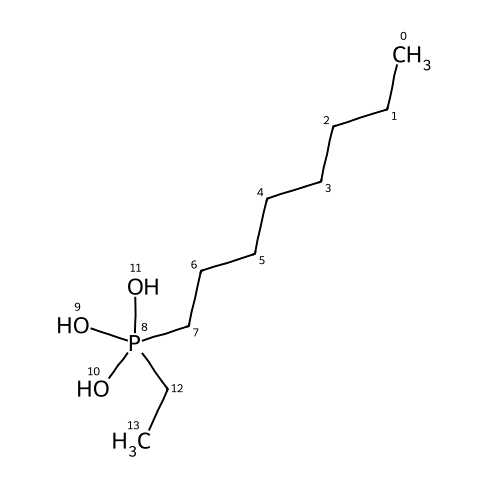 CCCCCCCCP(O)(O)(O)CC